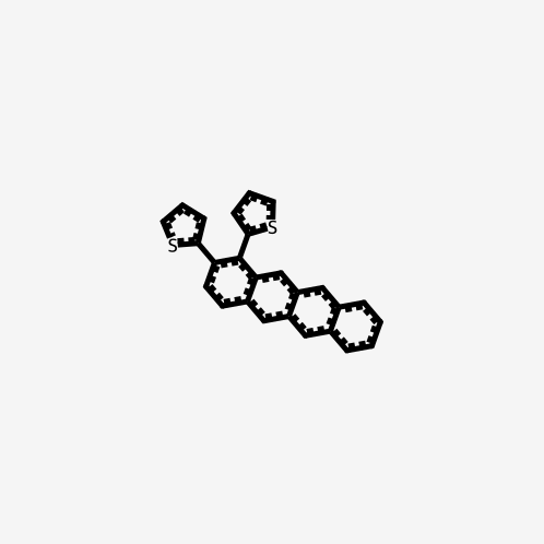 c1csc(-c2ccc3cc4cc5ccccc5cc4cc3c2-c2cccs2)c1